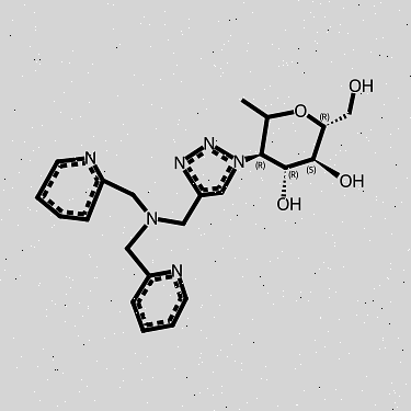 CC1O[C@H](CO)[C@@H](O)[C@H](O)[C@H]1n1cc(CN(Cc2ccccn2)Cc2ccccn2)nn1